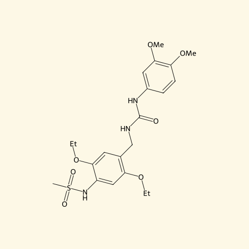 CCOc1cc(NS(C)(=O)=O)c(OCC)cc1CNC(=O)Nc1ccc(OC)c(OC)c1